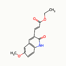 CCOC(=O)/C=C/c1cc2cc(OC)ccc2[nH]c1=O